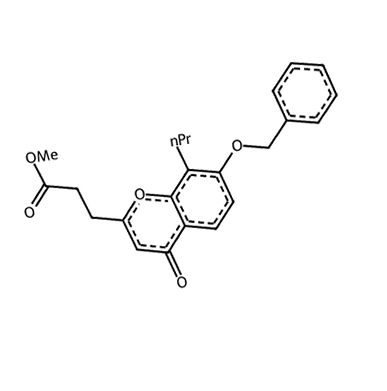 CCCc1c(OCc2ccccc2)ccc2c(=O)cc(CCC(=O)OC)oc12